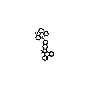 CC1(C)c2cc3cc(N(c4ccccc4)c4cccc5oc6ccccc6c45)ccc3cc2-c2c1c1ccccc1c1ccccc21